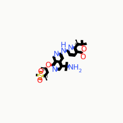 C[C@H](C[C@@H](C)S(C)(=O)=O)Oc1ncc(C(C)(C)N)c2cc(Nc3ccc4c(n3)[C@@H](C)C(C)(C)OC4=O)ncc12